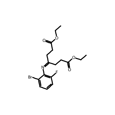 CCOC(=O)CCC(CCC(=O)OCC)=Nc1c(F)cccc1Br